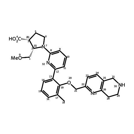 COC[C@@H]1[C@H](C(=O)O)CCN1c1cccc(-c2cccc(C)c2OCc2ccc3c(n2)CCNC3)n1